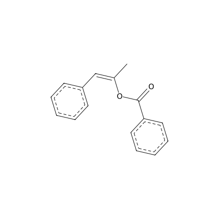 CC(=Cc1ccccc1)OC(=O)c1ccccc1